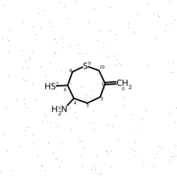 C=C1CCC(N)C(S)CSC1